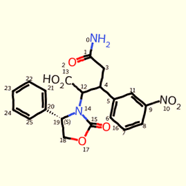 NC(=O)CC(c1cccc([N+](=O)[O-])c1)C(C(=O)O)N1C(=O)OC[C@@H]1c1ccccc1